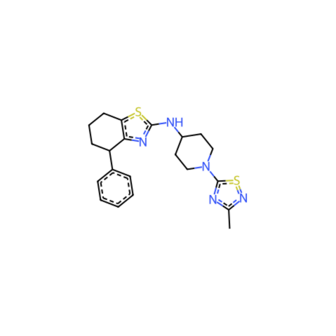 Cc1nsc(N2CCC(Nc3nc4c(s3)CCCC4c3ccccc3)CC2)n1